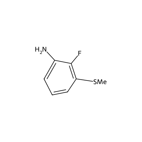 CSc1cccc(N)c1F